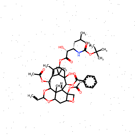 C=CC1OC2CC3OC[C@@]3(OC(C)=O)[C@H]3[C@H](OC(=O)c4ccccc4)C4(O)C[C@H](OC(=O)[C@H](O)[C@H](CC(C)C)NC(=O)OC(C)(C)C)C(C)=C([C@H](OC(C)=O)[C@H](O1)C23C)C4(C)C